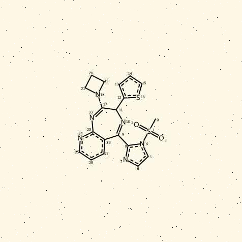 CS(=O)(=O)n1ccnc1C1=NC(c2cccs2)C(N2CCC2)=Nc2ncccc21